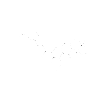 C=C/C(=C\C=C/C)CNC(=O)c1cn2c(c(OP)c1=O)C(=O)N1[C@@H](C2)OC[C@@H]2CCC[C@@H]21